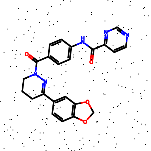 O=C(Nc1ccc(C(=O)N2CCCC(c3ccc4c(c3)OCO4)=N2)cc1)c1ccncn1